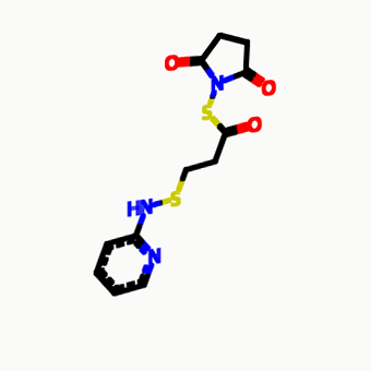 O=C(CCSNc1ccccn1)SN1C(=O)CCC1=O